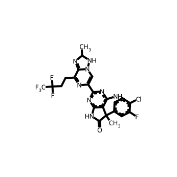 CC1N=C2C(CCC(F)(F)C(F)(F)F)=NC(c3nc(N)c4c(n3)NC(=O)C4(C)c3ccc(Cl)c(F)c3)=CN2N1